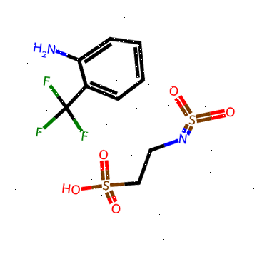 Nc1ccccc1C(F)(F)F.O=S(=O)=NCCS(=O)(=O)O